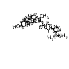 C[C@H](CCC(=O)N1CCN(c2cc(N(C)C)ncn2)CC1)[C@H]1CC[C@H]2[C@@H]3CC=C4C[C@@H](O)CC[C@]4(C)[C@H]3CC[C@]12C